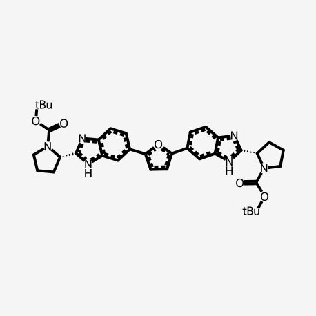 CC(C)(C)OC(=O)N1CCC[C@H]1c1nc2ccc(-c3ccc(-c4ccc5nc([C@@H]6CCCN6C(=O)OC(C)(C)C)[nH]c5c4)o3)cc2[nH]1